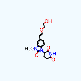 Cn1c(=O)n(C2CCC(=O)NC2=O)c2ccc(/C=C/OCCO)cc21